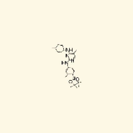 [CH2]c1cc(Nc2ncc(C)c(NC3CCC(C)CC3)n2)ccc1B1OC(C)(C)C(C)(C)O1